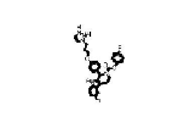 O=C(Oc1ccc(F)cc1)N1CCc2c([nH]c3ccc(Cl)cc23)C1c1ccc(OCCCN2C=CNN2)cc1